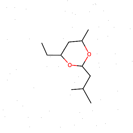 CCC1CC(C)OC(CC(C)C)O1